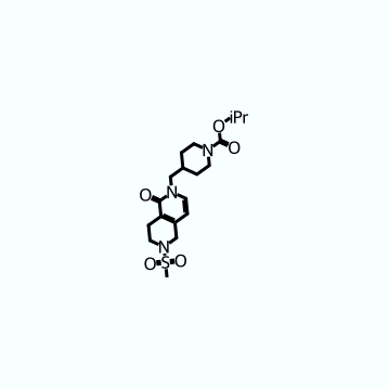 CC(C)OC(=O)N1CCC(Cn2ccc3c(c2=O)CCN(S(C)(=O)=O)C3)CC1